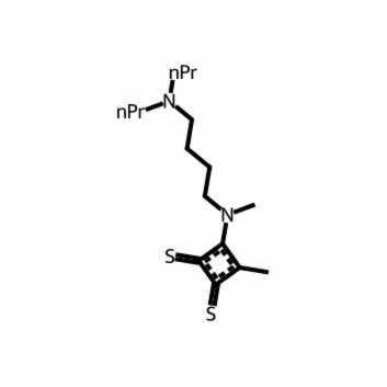 CCCN(CCC)CCCCN(C)c1c(C)c(=S)c1=S